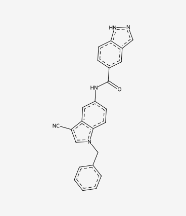 N#Cc1cn(Cc2ccccc2)c2ccc(NC(=O)c3ccc4[nH]ncc4c3)cc12